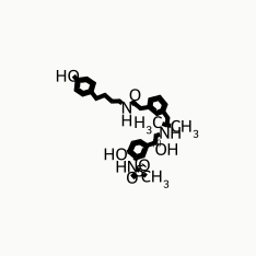 CC(C)(Cc1cccc(CC(=O)NCCCCc2ccc(O)cc2)c1)NC[C@@H](O)c1ccc(O)c(NS(C)(=O)=O)c1